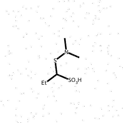 CCC(SN(C)C)S(=O)(=O)O